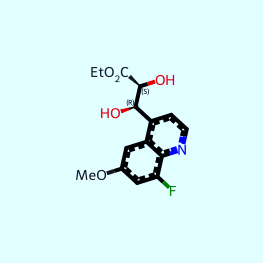 CCOC(=O)[C@@H](O)[C@H](O)c1ccnc2c(F)cc(OC)cc12